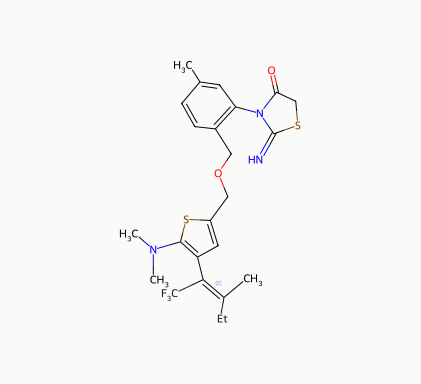 CC/C(C)=C(/c1cc(COCc2ccc(C)cc2N2C(=N)SCC2=O)sc1N(C)C)C(F)(F)F